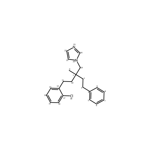 CC(CCc1ccccc1)(CCc1ccccc1Cl)Cn1ccnc1